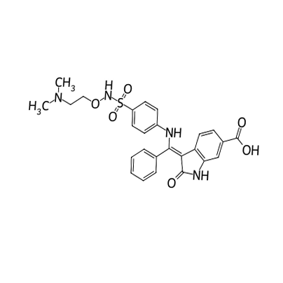 CN(C)CCONS(=O)(=O)c1ccc(N/C(=C2/C(=O)Nc3cc(C(=O)O)ccc32)c2ccccc2)cc1